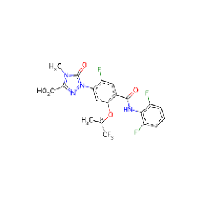 C[C@H](Oc1cc(-n2nc(C(=O)O)n(C)c2=O)c(F)cc1C(=O)Nc1c(F)cccc1F)C(F)(F)F